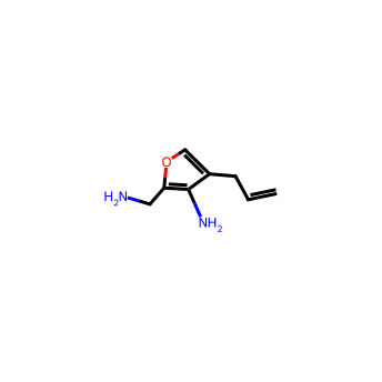 C=CCc1coc(CN)c1N